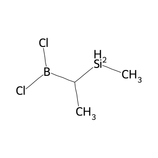 C[SiH2]C(C)B(Cl)Cl